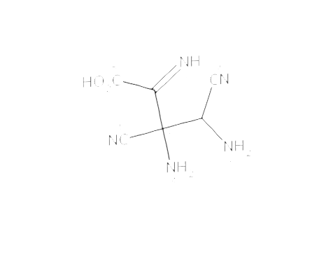 N#CC(N)C(N)(C#N)C(=N)C(=O)O